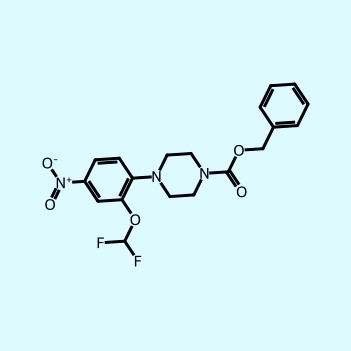 O=C(OCc1ccccc1)N1CCN(c2ccc([N+](=O)[O-])cc2OC(F)F)CC1